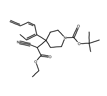 C=C/C=C\C(=C/C)C1(C(C#N)C(=O)OCC)CCN(C(=O)OC(C)(C)C)CC1